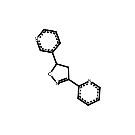 c1ccc(C2=NOC(c3cccnc3)C2)nc1